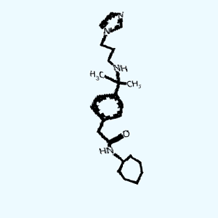 CC(C)(NCCCn1ccnc1)c1ccc(CC(=O)NC2CCCCCC2)cc1